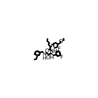 CCCCC(C(=O)N[C@@H](Cc1cc(F)cc(F)c1)[C@H](O)CNCc1cccc(CC)c1)N1CCC(COCC)CC1